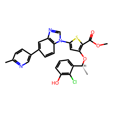 COC(=O)c1sc(-n2cnc3cc(-c4ccc(C)nc4)ccc32)cc1O[C@H](C)c1cccc(O)c1Cl